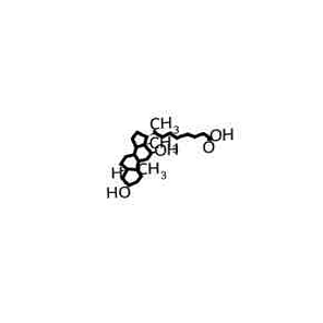 CC(CCCCCCC(=O)O)[C@H]1CCC2C3CC[C@@H]4C[C@H](O)CC[C@]4(C)C3C[C@H](O)[C@@]21C